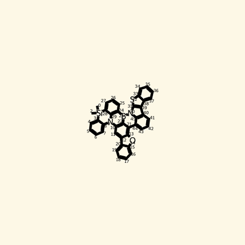 C[Si]1(C)c2ccccc2N2c3cc4c(oc5ccccc54)c4c3B(c3cccc1c32)n1c2sc3ccccc3c2c2cccc-4c21